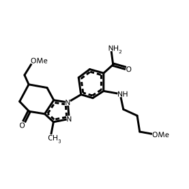 COCCCNc1cc(-n2nc(C)c3c2CC(COC)CC3=O)ccc1C(N)=O